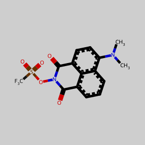 CN(C)c1ccc2c3c(cccc13)C(=O)N(OS(=O)(=O)C(F)(F)F)C2=O